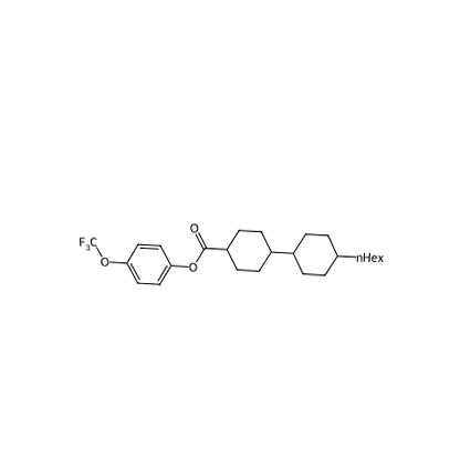 CCCCCCC1CCC(C2CCC(C(=O)Oc3ccc(OC(F)(F)F)cc3)CC2)CC1